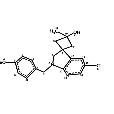 COc1ccc(CN2CC3(CC(C)(O)C3)c3cc(Cl)cnc32)cc1